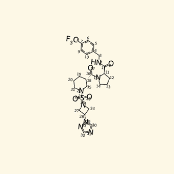 O=C(NCc1ccc(C(F)(F)F)cc1)[C@H]1CCCN1C(=O)[C@H]1CCCN(S(=O)(=O)N2CC(n3cncn3)C2)C1